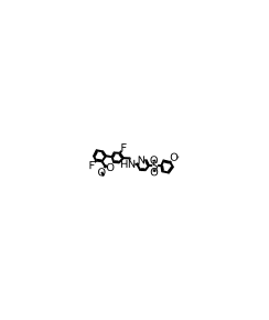 COC(=O)c1c(F)cccc1-c1ccc(CNc2ccc(S(=O)(=O)c3cccc(OC)c3)cn2)c(F)c1